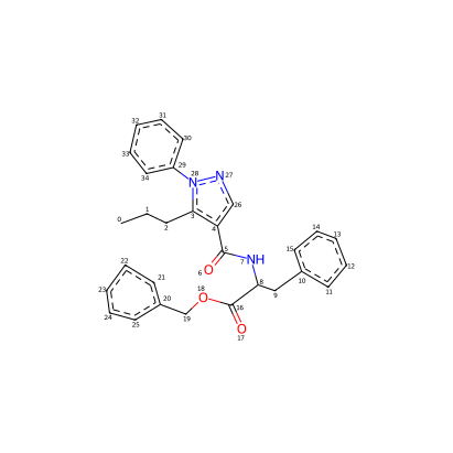 CCCc1c(C(=O)NC(Cc2ccccc2)C(=O)OCc2ccccc2)cnn1-c1ccccc1